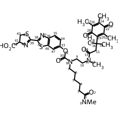 CNC(=O)CCCCCN(CCN(C)C(=O)CC(C)(C)C1=C(C)C(=O)C(C)=C(C)C1=O)C(=O)Oc1ccc2nc(C3=NC(C(=O)O)CS3)sc2c1